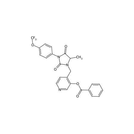 CC1C(=O)N(c2ccc(OC(F)(F)F)cc2)C(=O)N1Cc1ccncc1OC(=O)c1ccccc1